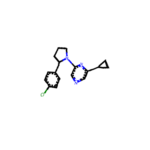 Clc1ccc(C2CCCN2c2cncc(C3CC3)n2)cc1